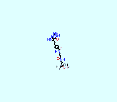 C[Si](C)(O)CCCNC(=O)CCCNC(=O)c1ccc(CCc2c[nH]c3nc(N)[nH]c(=O)c23)cc1